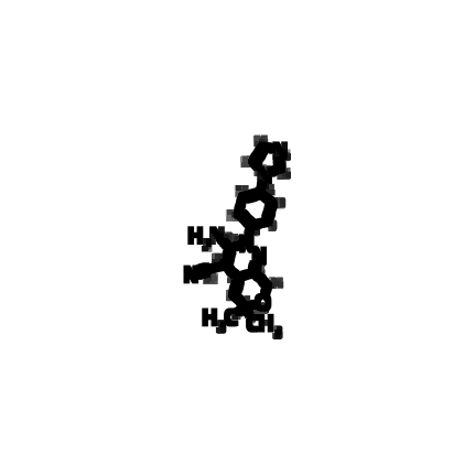 CC1(C)C=C2C(=NN(c3ccc(-n4ccnc4)cc3)C(N)=C2C#N)CO1